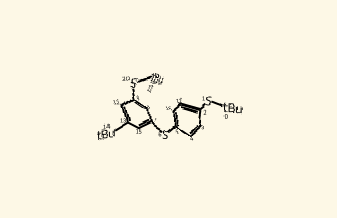 CC(C)(C)Sc1ccc(Sc2cc(SC(C)(C)C)cc(C(C)(C)C)c2)cc1